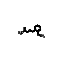 CNCOCc1ccccc1OC